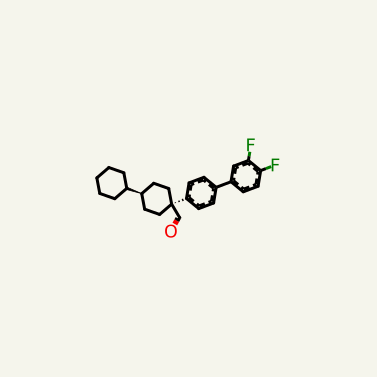 O=C[C@]1(c2ccc(-c3ccc(F)c(F)c3)cc2)CC[C@H](C2CCCCC2)CC1